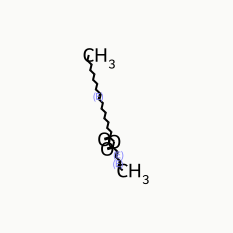 C/C=C/C=C/C(=O)OC(=O)CCCCCCC/C=C/CCCCCCCC